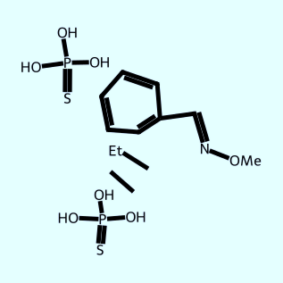 CC.CCC.CON=Cc1ccccc1.OP(O)(O)=S.OP(O)(O)=S